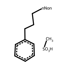 CCCCCCCCCCCCc1ccccc1.CS(=O)(=O)O